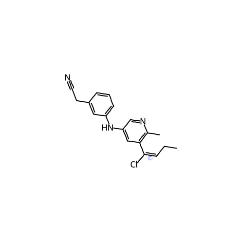 CC/C=C(/Cl)c1cc(Nc2cccc(CC#N)c2)cnc1C